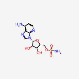 Nc1ccnc2c1ncn2[C@@H]1O[C@H](COS(N)(=O)=O)[C@@H](O)[C@H]1O